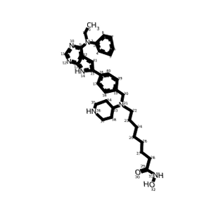 CCN(c1ccccc1)c1ncnc2[nH]c(-c3ccc(CN(CCCCCCCC(=O)NO)C4CCNCC4)cc3)cc12